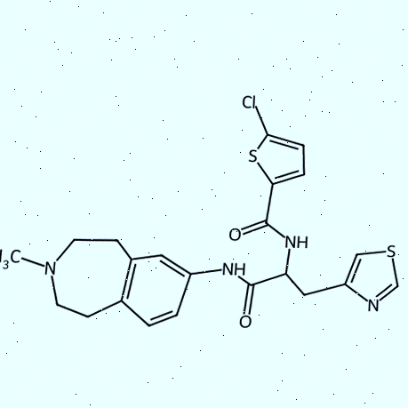 CN1CCc2ccc(NC(=O)C(Cc3cscn3)NC(=O)c3ccc(Cl)s3)cc2CC1